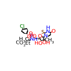 CCOC(=O)[C@H](C)NP(=O)(OC[C@H]1O[C@@H](n2ccc(=O)[nH]c2=S)[C@](C)(O)C1O)Oc1ccc(Cl)cc1